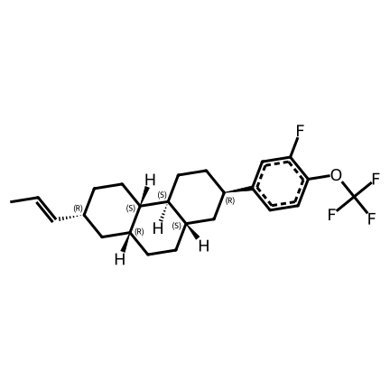 CC=C[C@@H]1CC[C@H]2[C@H](CC[C@H]3C[C@H](c4ccc(OC(F)(F)F)c(F)c4)CC[C@@H]32)C1